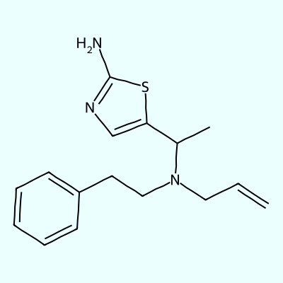 C=CCN(CCc1ccccc1)C(C)c1cnc(N)s1